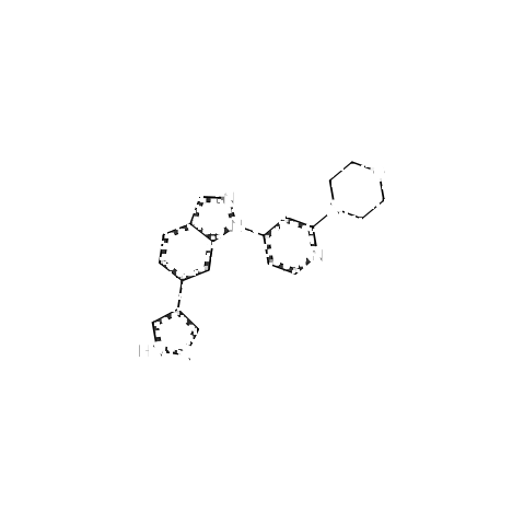 c1cc(-n2ncc3ccc(-c4cn[nH]c4)cc32)cc(N2CCOCC2)n1